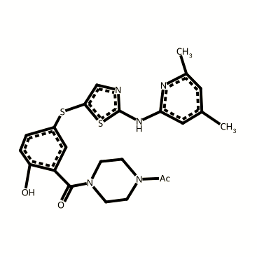 CC(=O)N1CCN(C(=O)c2cc(Sc3cnc(Nc4cc(C)cc(C)n4)s3)ccc2O)CC1